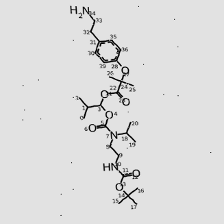 CC(C)C(OC(=O)N(CCNC(=O)OC(C)(C)C)C(C)C)OC(=O)C(C)(C)Oc1ccc(CCN)cc1